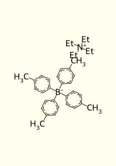 CC[N+](CC)(CC)CC.Cc1ccc([B-](c2ccc(C)cc2)(c2ccc(C)cc2)c2ccc(C)cc2)cc1